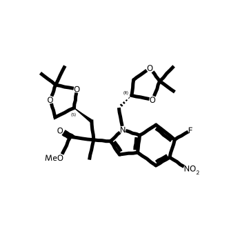 COC(=O)C(C)(C[C@H]1COC(C)(C)O1)c1cc2cc([N+](=O)[O-])c(F)cc2n1C[C@@H]1COC(C)(C)O1